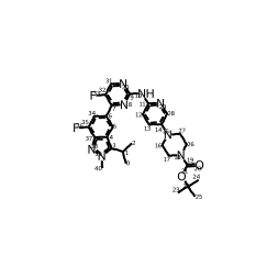 CC(C)c1c2cc(-c3nc(Nc4ccc(N5CCN(C(=O)OC(C)(C)C)CC5)cn4)ncc3F)cc(F)c2nn1C